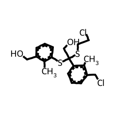 Cc1c(CO)cccc1SC(CO)(SCCCl)c1cccc(CCl)c1C